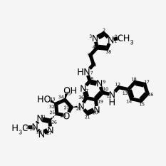 Cn1cnc(CCNc2nc(NCc3ccccc3)c3ncn([C@@H]4O[C@H](c5nnn(C)n5)[C@@H](O)[C@H]4O)c3n2)c1